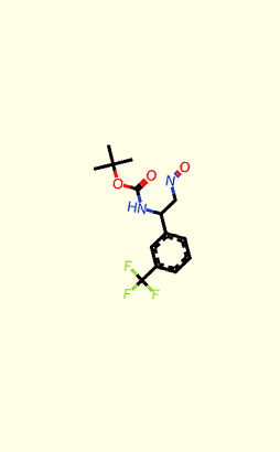 CC(C)(C)OC(=O)NC(CN=O)c1cccc(C(F)(F)F)c1